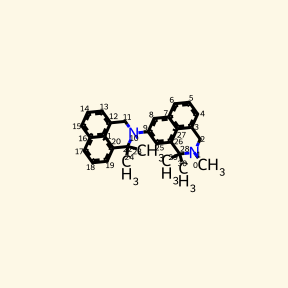 CN1Cc2cccc3cc(N4Cc5cccc6cccc(c56)C4(C)C)cc(c23)C1(C)C